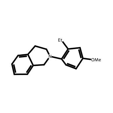 CCc1cc(OC)ccc1N1CCc2ccccc2C1